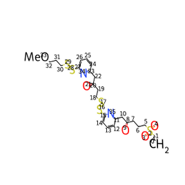 C=CS(=O)(=O)CCCC(=O)Cc1cccc(SSCCC(=O)Cc2cccc(SSCCCOC)n2)n1